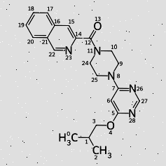 CC(C)COc1cc(N2CCN(C(=O)c3cc4ccccc4cn3)CC2)ncn1